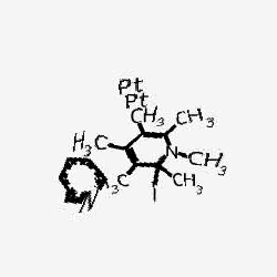 CC1=C(C)N(C)C(C)(I)C(C)=C1C.[Pt].[Pt].c1ccncc1